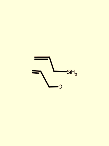 C=CC[O].C=CC[SiH3]